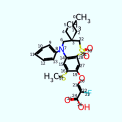 CCC[C@]1(CC)CN(c2ccccc2)c2cc(SC)c(O/C=C(\F)C(=O)O)cc2S(=O)(=O)C1